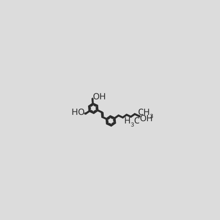 CC(C)(O)CCCCCc1cccc(C=Cc2cc(CO)cc(CO)c2)c1